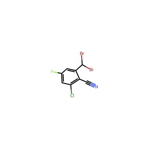 N#Cc1c(Cl)cc(F)cc1C(Br)Br